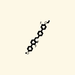 CCOc1ccc(-c2ccc(CCc3ccc(-c4ccc(OC)cc4)c(F)c3F)cc2)cc1F